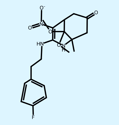 COC1(OC)C2CC(=O)CC1(C)NC(NCCc1ccc(F)cc1)=C2[N+](=O)[O-]